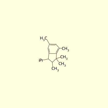 Cc1cc(C)c2c(c1)C(C(C)C)C(C)C2(C)C